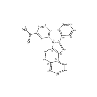 O=C(O)c1cccc(-n2c(-c3ccncc3)cc3c2CCc2ccccc2-3)c1